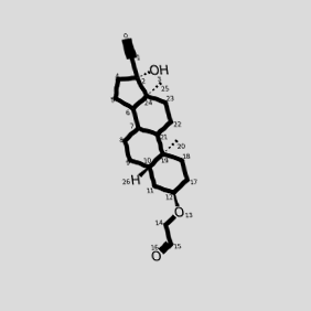 C#C[C@]1(O)CCC2C3CC[C@H]4C[C@H](OCC=O)CC[C@]4(C)C3CC[C@@]21C